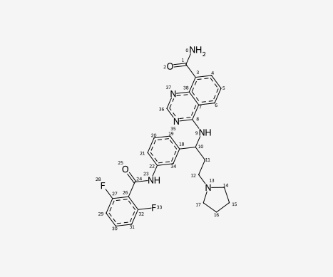 NC(=O)c1cccc2c(NC(CCN3CCCC3)c3cccc(NC(=O)c4c(F)cccc4F)c3)ncnc12